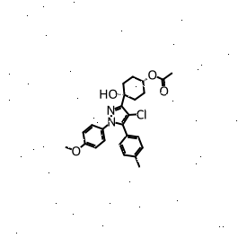 COc1ccc(-n2nc([C@]3(O)CC[C@@H](OC(C)=O)CC3)c(Cl)c2-c2ccc(C)cc2)cc1